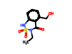 CCN1C(=O)c2c(CO)cccc2NS1(=O)=O